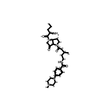 CCCC(N)C(=O)N1CC(=O)C2C1CCN2C(=O)CC(C)CCNC(=O)c1ccc(N2CCN(C)CC2)cc1